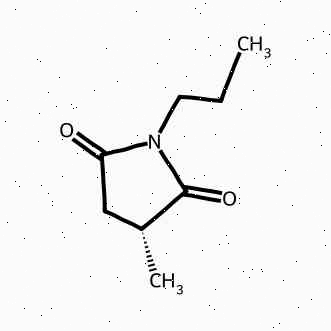 CCCN1C(=O)C[C@@H](C)C1=O